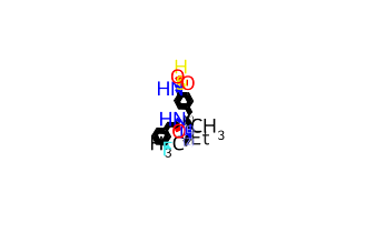 C/C=C(CC)\N=C(/C)[C@H](Cc1ccc(N[SH](=O)=O)cc1)NC(=O)Cc1cccc(F)c1